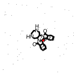 O=C1C2C3C=CC(O3)C2C(=O)N1C1CNCCNCC1N1C(=O)C2C3C=CC(O3)C2C1=O